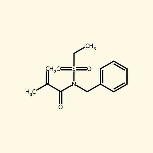 C=C(C)C(=O)N(Cc1ccccc1)S(=O)(=O)CC